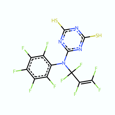 FC(F)=C(F)C(F)(F)N(c1nc(S)nc(S)n1)c1c(F)c(F)c(F)c(F)c1F